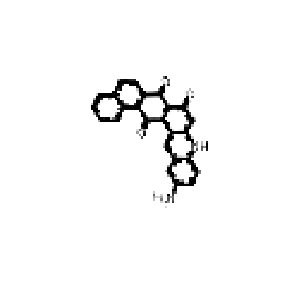 Nc1ccc2[nH]c3cc(=O)c4c(c-3cc2c1)C(=O)c1c(ccc2ccccc12)C4=O